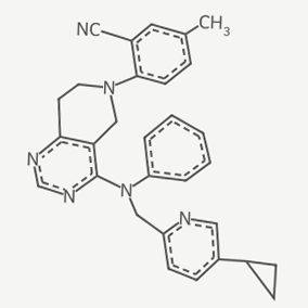 Cc1ccc(N2CCc3ncnc(N(Cc4ccc(C5CC5)cn4)c4ccccc4)c3C2)c(C#N)c1